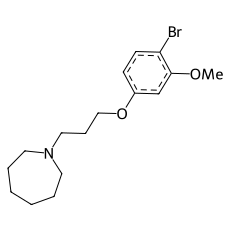 COc1cc(OCCCN2CCCCCC2)ccc1Br